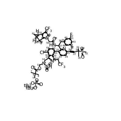 CC(C)(C)OP(=O)(OCC(C)(C)C(=O)OCN(Cc1nn(CC(F)(F)F)c2c(-c3ccc(C#CC(C)(C)S(C)(=O)=O)nc3C(Cc3cc(F)cc(F)c3)NC(=O)Cn3nc(C(F)(F)F)c4c3C(F)(F)[C@@H]3C[C@H]43)ccc(Cl)c12)[SH](=O)=O)OC(C)(C)C